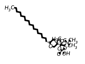 CCCCCCCCCCCCCCCCC[C@@H]1CO[C@H](C(C[N+](C)(C)C)(OC)OP(=O)([O-])O)CO1